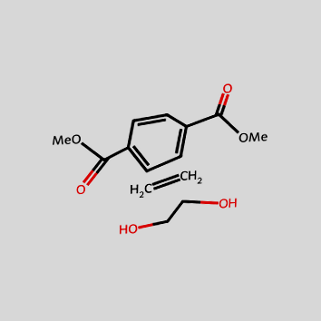 C=C.COC(=O)c1ccc(C(=O)OC)cc1.OCCO